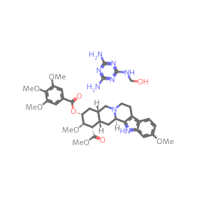 COC(=O)[C@H]1[C@H]2C[C@@H]3c4[nH]c5cc(OC)ccc5c4CCN3C[C@H]2C[C@@H](OC(=O)c2cc(OC)c(OC)c(OC)c2)[C@@H]1OC.Nc1nc(N)nc(NCO)n1